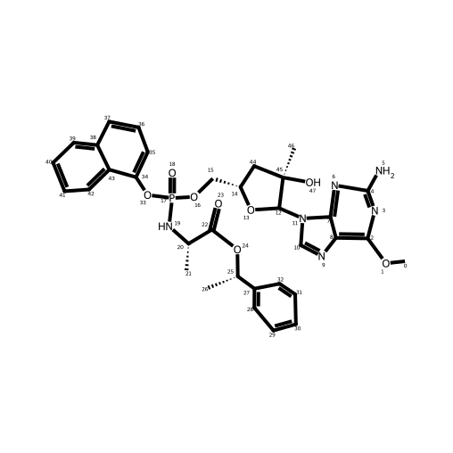 COc1nc(N)nc2c1ncn2C1O[C@H](COP(=O)(N[C@@H](C)C(=O)O[C@@H](C)c2ccccc2)Oc2cccc3ccccc23)C[C@@]1(C)O